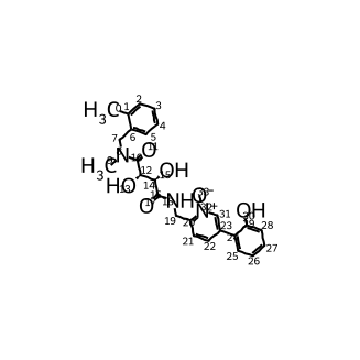 Cc1ccccc1CN(C)C(=O)[C@H](O)[C@@H](O)C(=O)NCc1ccc(-c2ccccc2O)c[n+]1[O-]